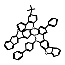 CC(C)(C)c1ccc(N2c3cc4oc5cc6ccccc6cc5c4cc3B3c4c(cc(-c5ccccc5)cc42)-c2cc4c(cc2N3c2ccc(-c3ccccc3)cc2)oc2ccccc24)c(-c2ccccc2)c1